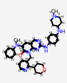 CN1CCC(Nc2ccc(Nc3ncc4cc(N(C)c5ccccc5)c(=O)n(Cc5cccnc5C5CCOCC5)c4n3)cc2)CC1